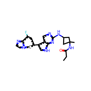 CCC(=O)NC1(C)CC(Nc2ncc3c(-c4cc(F)c5nccn5c4)c[nH]c3n2)C1